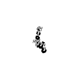 CC(C)(C)OC(=O)N1CCN(c2ccc(Nc3ncc4c(n3)N3CCN=C3C(c3ccccn3)=C4)c(F)c2)CC1